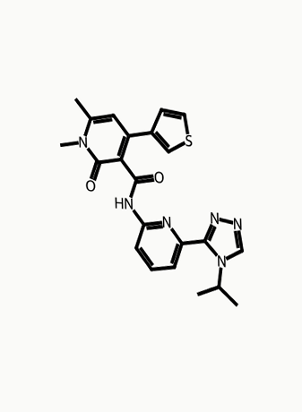 Cc1cc(-c2ccsc2)c(C(=O)Nc2cccc(-c3nncn3C(C)C)n2)c(=O)n1C